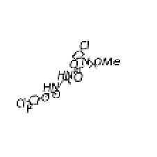 C=C(CCNC(=O)COc1ccc(Cl)c(F)c1)NC(=O)[C@@H]1CN(CC(C)(C)OC)c2cc(Cl)ccc2O1